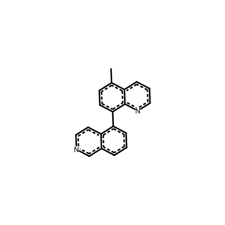 Cc1ccc(-c2cccc3cnccc23)c2ncccc12